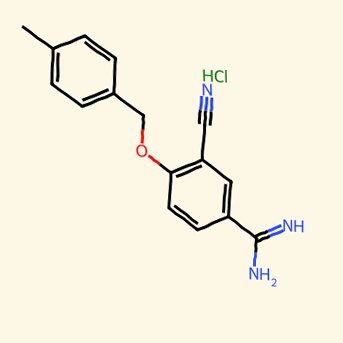 Cc1ccc(COc2ccc(C(=N)N)cc2C#N)cc1.Cl